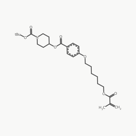 C=C(C)C(=O)OCCCCCCOc1ccc(C(=O)OC2CCN(C(=O)OC(C)(C)C)CC2)cc1